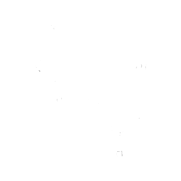 COc1ncc(Br)cc1C=Cc1cc(Cl)ccc1CO